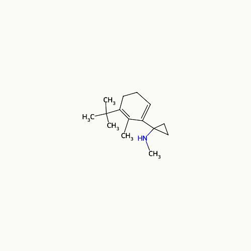 CNC1(C2=CCCC(C(C)(C)C)=C2C)CC1